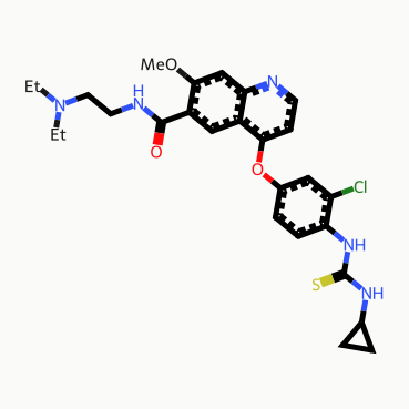 CCN(CC)CCNC(=O)c1cc2c(Oc3ccc(NC(=S)NC4CC4)c(Cl)c3)ccnc2cc1OC